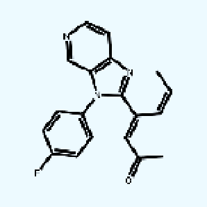 C/C=C\C(=C/C(C)=O)c1nc2ccncc2n1-c1ccc(F)cc1